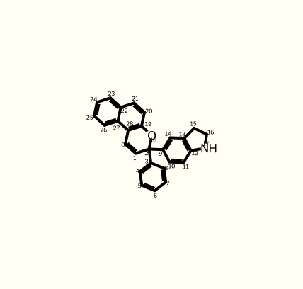 C1=CC(c2ccccc2)(c2ccc3c(c2)CCN3)Oc2ccc3ccccc3c21